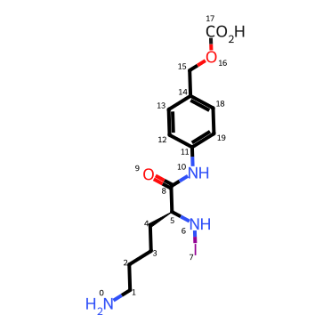 NCCCC[C@H](NI)C(=O)Nc1ccc(COC(=O)O)cc1